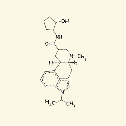 CC(C)n1cc2c3c(cccc31)[C@H]1CC(C(=O)NC3CCCC3O)CN(C)[C@@H]1C2